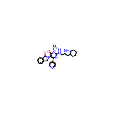 Cn1c(NC[C@H](N)CC2CCCCC2)nc(-c2ccncc2)c(N2Cc3ccccc3C2=O)c1=O